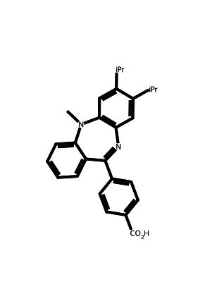 CC(C)c1cc2c(cc1C(C)C)N(C)c1ccccc1C(c1ccc(C(=O)O)cc1)=N2